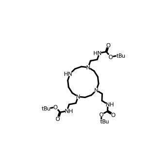 CC(C)(C)OC(=O)NCCN1CCCN(CCNC(=O)OC(C)(C)C)CCN(CCNC(=O)OC(C)(C)C)CCCNCC1